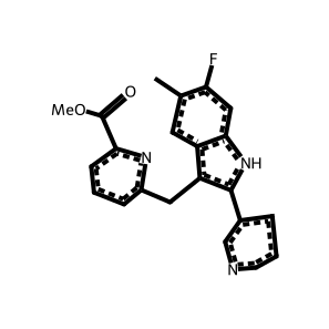 COC(=O)c1cccc(Cc2c(-c3cccnc3)[nH]c3cc(F)c(C)cc23)n1